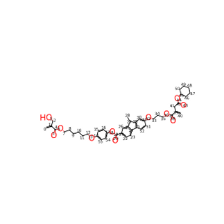 C=C(CO)C(=O)OCCCCCCOc1ccc(OC(=O)c2ccc3c(c2)C(C)c2cc(OCCCOC(=O)C(=C)CC(=O)OC4CCCCC4)ccc2-3)cc1